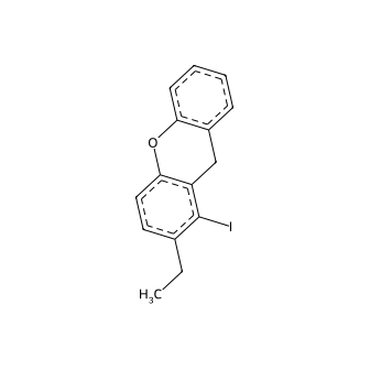 CCc1ccc2c(c1I)Cc1ccccc1O2